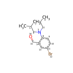 CCCN(CC(C)C)c1ccc(Br)cc1C=O